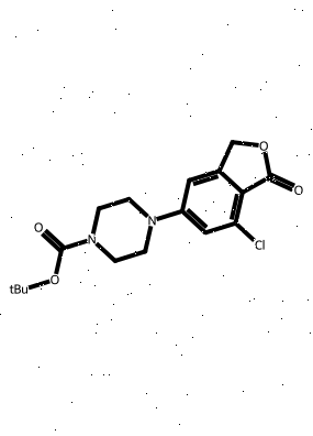 CC(C)(C)OC(=O)N1CCN(c2cc(Cl)c3c(c2)COC3=O)CC1